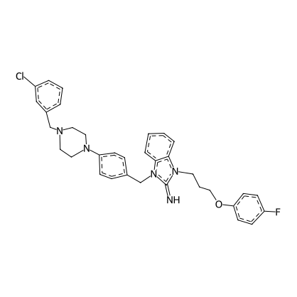 N=c1n(CCCOc2ccc(F)cc2)c2ccccc2n1Cc1ccc(N2CCN(Cc3cccc(Cl)c3)CC2)cc1